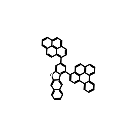 c1ccc2cc3c(cc2c1)oc1cc(-c2ccc4ccc5cccc6ccc2c4c56)cc(-c2ccc4c5ccccc5c5cccc6ccc2c4c65)c13